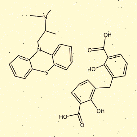 CC(CN1c2ccccc2Sc2ccccc21)N(C)C.O=C(O)c1cccc(Cc2cccc(C(=O)O)c2O)c1O